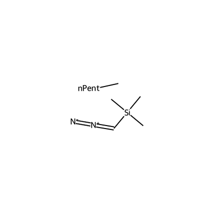 CCCCCC.C[Si](C)(C)C=[N+]=[N-]